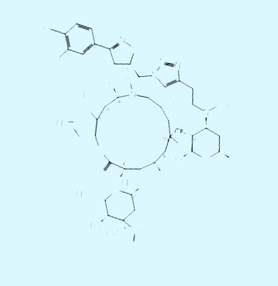 CC[C@H]1OC(=O)[C@H](C)[C@@H](O[C@H]2C[C@@](C)(OC)[C@@H](O)[C@H](C)O2)[C@H](C)[C@@H](O[C@@H]2O[C@H](C)C[C@H](N(C)CCc3cn(C[C@H]4CC(c5ccc(Cl)c(F)c5)=NO4)nn3)[C@H]2O)[C@](C)(O)C[C@@H](C)CN(C)[C@H](C)[C@@H](O)[C@]1(C)O